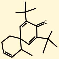 CC1C=CCCC12C=C(C(C)(C)C)C(=O)C(C(C)(C)C)=C2